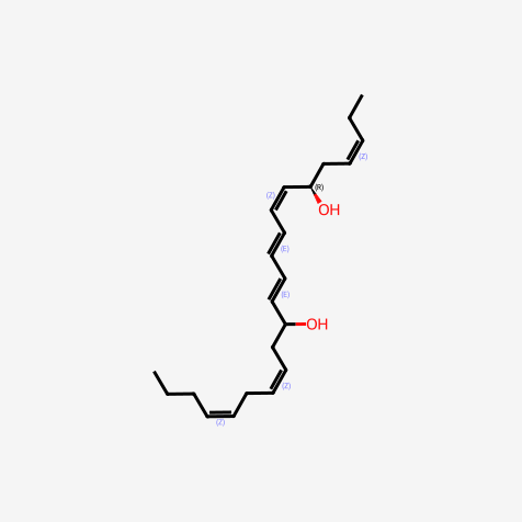 CC/C=C\C[C@@H](O)\C=C/C=C/C=C/C(O)C/C=C\C/C=C\CCC